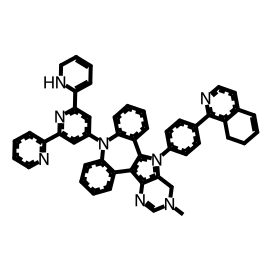 CN1C=Nc2c3c(n(-c4ccc(-c5nccc6c5CCC=C6)cc4)c2C1)-c1ccccc1N(c1cc(C2=CC=CCN2)nc(-c2ccccn2)c1)c1ccccc1-3